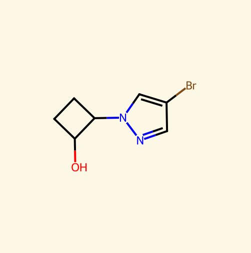 OC1CCC1n1cc(Br)cn1